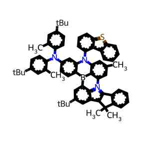 Cc1cc2c3c(c1)-n1c4c(c5cc(C(C)(C)C)cc(c51)B3c1ccc(N(c3ccc(C(C)(C)C)cc3C)c3ccc(C(C)(C)C)cc3C)cc1N2c1cccc2sc3ccccc3c12)C(C)(C)c1ccccc1-4